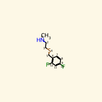 CNCCSCc1ccc(F)cc1F